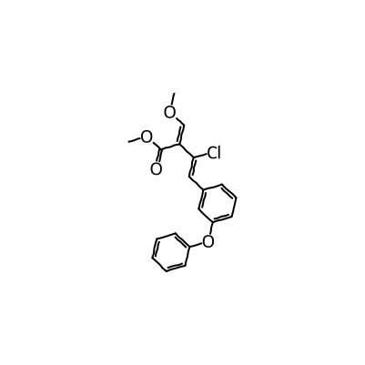 COC=C(C(=O)OC)C(Cl)=Cc1cccc(Oc2ccccc2)c1